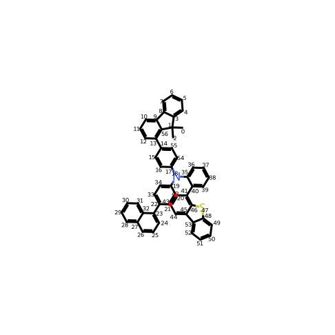 CC1(C)c2ccccc2-c2cccc(-c3ccc(N(c4ccc(-c5cccc6ccccc56)cc4)c4ccccc4-c4cccc5c4sc4ccccc45)cc3)c21